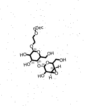 CCCCCCCCCCOCCO[C@H]1OC(CO)[C@H](O[C@@H]2OC(CO)[C@@H]3O[C@H]3C2O)[C@@H](O)C1O